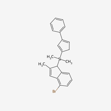 CC1=Cc2c(Br)cccc2C1[Si](C)(C)C1=CC(c2ccccc2)=CC1